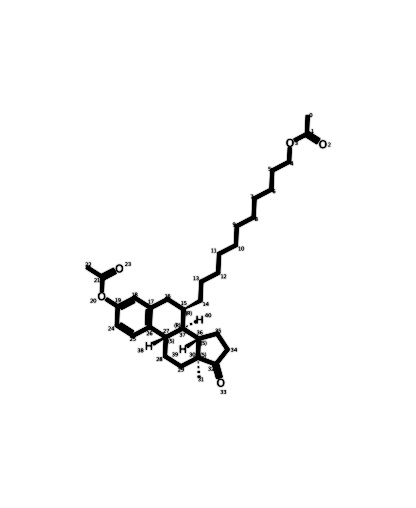 CC(=O)OCCCCCCCCCCC[C@@H]1Cc2cc(OC(C)=O)ccc2[C@H]2CC[C@]3(C)C(=O)CC[C@H]3[C@H]12